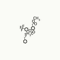 CCOC(=O)Cc1ccc(OC)c(Oc2ccc(C(F)(F)F)cc2CSCCc2ccccc2)c1